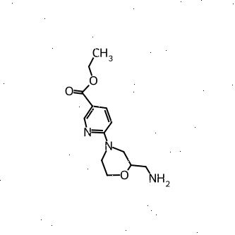 CCOC(=O)c1ccc(N2CCOC(CN)C2)nc1